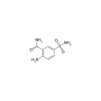 NC(=O)c1cc(S(N)(=O)=O)ccc1N